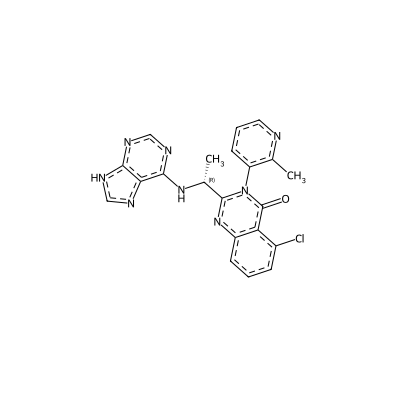 Cc1ncccc1-n1c([C@@H](C)Nc2ncnc3[nH]cnc23)nc2cccc(Cl)c2c1=O